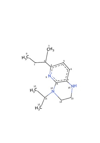 CCC(C)c1ccc2c(n1)N(C(C)C)CCN2